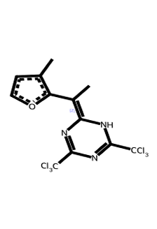 C/C(=C1/N=C(C(Cl)(Cl)Cl)N=C(C(Cl)(Cl)Cl)N1)c1occc1C